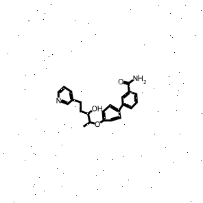 CC(Oc1ccc(-c2cccc(C(N)=O)c2)cc1)C(O)CCc1cccnc1